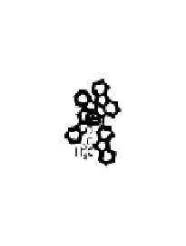 CC1(C)c2ccccc2-c2ccc(N(C3=CC=CC4c5ccccc5C5(c6ccccc6-c6ccccc65)C34)c3cccc4c3oc3ccccc34)cc21